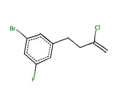 C=C(Cl)C[CH]c1cc(F)cc(Br)c1